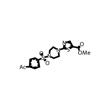 COC(=O)c1cnc(N2CCN(S(=O)(=O)c3ccc(C(C)=O)cc3)CC2)s1